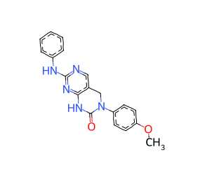 COc1ccc(N2Cc3cnc(Nc4ccccc4)nc3NC2=O)cc1